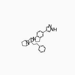 O=C(CCc1ccccc1)N1C2CCC1C(CN1CCc3cc(-c4cn[nH]c4)ccc31)C2